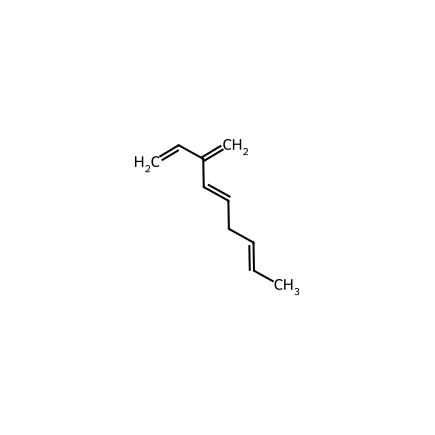 C=CC(=C)C=CCC=CC